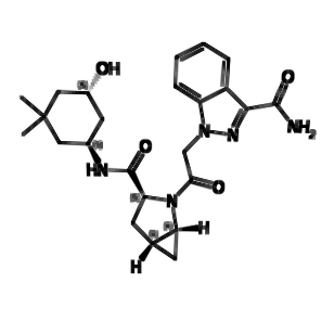 CC1(C)C[C@H](O)C[C@@H](NC(=O)[C@@H]2C[C@H]3C[C@H]3N2C(=O)Cn2nc(C(N)=O)c3ccccc32)C1